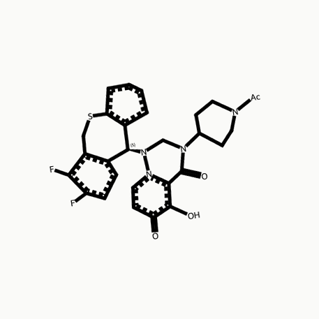 CC(=O)N1CCC(N2CN([C@@H]3c4ccccc4SCc4c3ccc(F)c4F)n3ccc(=O)c(O)c3C2=O)CC1